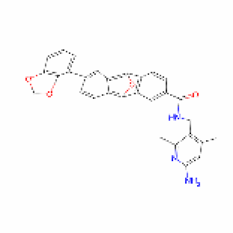 Cc1cc(N)nc(C)c1CNC(=O)c1ccc2c(c1)c1oc2c2cc(-c3cccc4c3OCO4)ccc21